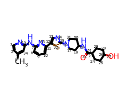 Cc1ccnc(Nc2cccc(-c3cnc(N4CCC(NC(=O)C5CCC(O)CC5)CC4)s3)n2)c1